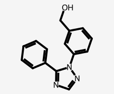 OCc1cccc(-n2ncnc2-c2ccccc2)c1